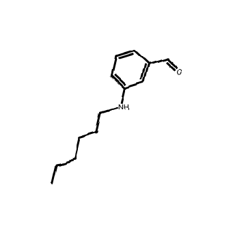 CCCCCCNc1cccc(C=O)c1